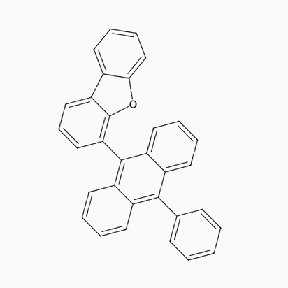 c1ccc(-c2c3ccccc3c(-c3cccc4c3oc3ccccc34)c3ccccc23)cc1